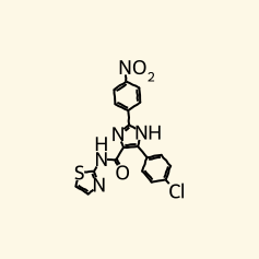 O=C(Nc1nccs1)c1nc(-c2ccc([N+](=O)[O-])cc2)[nH]c1-c1ccc(Cl)cc1